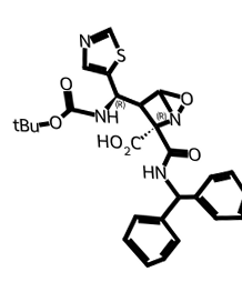 CC(C)(C)OC(=O)N[C@@H](c1cncs1)C1C2ON2[C@@]1(C(=O)O)C(=O)NC(c1ccccc1)c1ccccc1